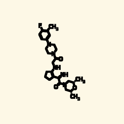 Cc1cc(N2CCN(C(=O)CNC3=C(C(=N)C(=O)N4C[C@@H](C)O[C@@H](C)C4)CCC3)CC2)ccc1F